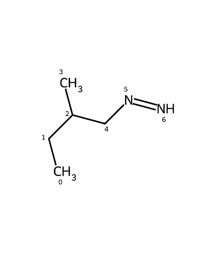 CCC(C)CN=N